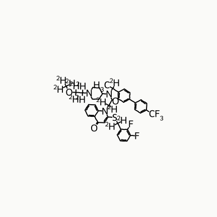 [2H]C([2H])([2H])OC([2H])([2H])C([2H])([2H])N1CCC(N(C(=O)C([2H])([2H])n2c(SC([2H])([2H])c3cccc(F)c3F)cc(=O)c3ccccc32)C([2H])(C)c2ccc(-c3ccc(C(F)(F)F)cc3)cc2)CC1